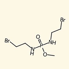 COP(=O)(NCCBr)NCCBr